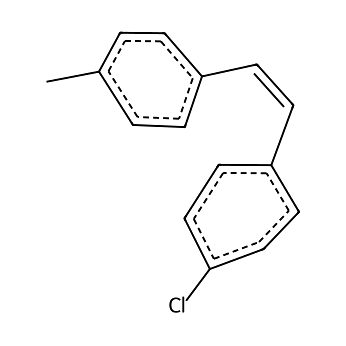 Cc1ccc(/C=C\c2ccc(Cl)cc2)cc1